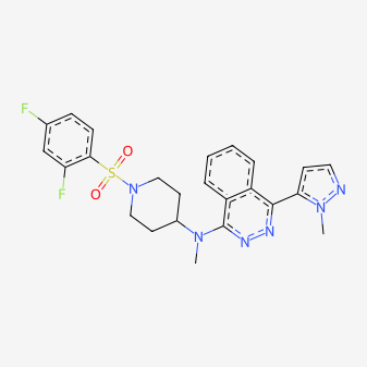 CN(c1nnc(-c2ccnn2C)c2ccccc12)C1CCN(S(=O)(=O)c2ccc(F)cc2F)CC1